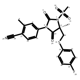 Cc1cc(N2C(=O)N(S(C)(=O)=O)[C@@](C)(CSc3ccc(F)cc3)C2=O)ccc1C#N